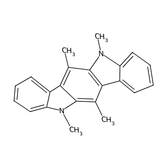 Cc1c2c3ccccc3n(C)c2c(C)c2c3ccccc3n(C)c12